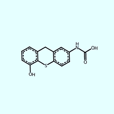 O=C(O)Nc1ccc2c(c1)Cc1cccc(O)c1S2